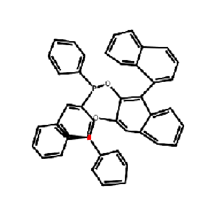 c1ccc(P(Oc2cc3ccccc3c(-c3cccc4ccccc34)c2OP(c2ccccc2)c2ccccc2)c2ccccc2)cc1